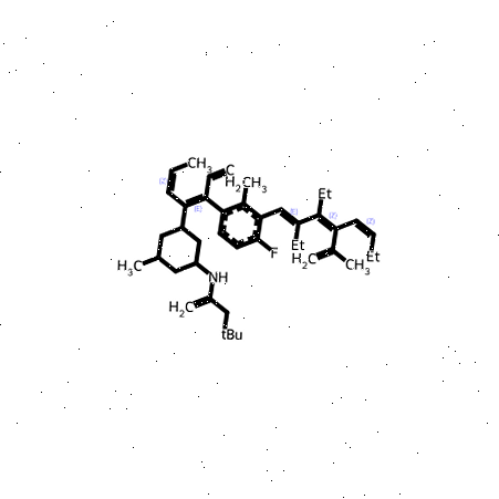 C=C/C(=C(\C=C/C)C1CC(C)CC(NC(=C)CC(C)(C)C)C1)c1ccc(F)c(/C=C(CC)/C(CC)=C(/C=C\CC)C(=C)C)c1C